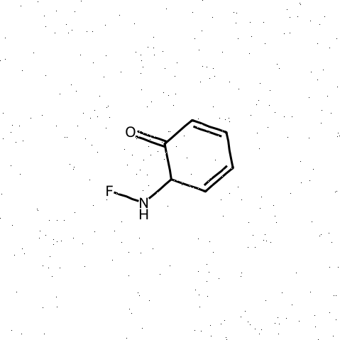 O=C1C=CC=CC1NF